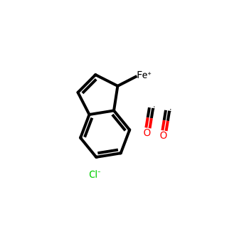 [C]=O.[C]=O.[Cl-].[Fe+][CH]1C=Cc2ccccc21